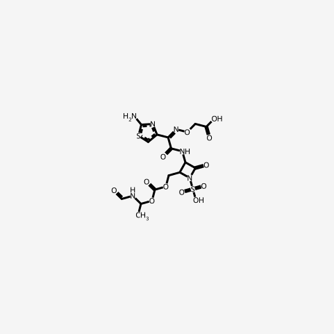 CC(NC=O)OC(=O)OCC1C(NC(=O)/C(=N\OCC(=O)O)c2csc(N)n2)C(=O)N1S(=O)(=O)O